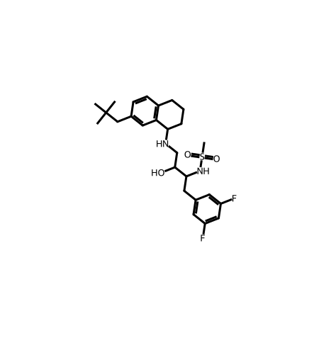 CC(C)(C)Cc1ccc2c(c1)C(NCC(O)C(Cc1cc(F)cc(F)c1)NS(C)(=O)=O)CCC2